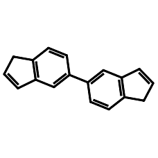 C1=Cc2cc(-c3ccc4c(c3)C=CC4)ccc2C1